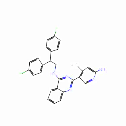 Cc1cc(N)ncc1-c1nc(NCC(c2ccc(F)cc2)c2ccc(F)cc2)c2ccccc2n1